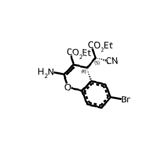 CCOC(=O)C1=C(N)Oc2ccc(Br)cc2[C@H]1[C@@H](C#N)C(=O)OCC